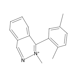 Cc1ccc(C)c(-c2c3ccccc3cn[n+]2C)c1